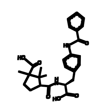 CC1(C(=O)O)CCC(C(=O)N[C@@H](Cc2ccc(NC(=O)c3ccccc3)cc2)C(=O)O)C1(C)C